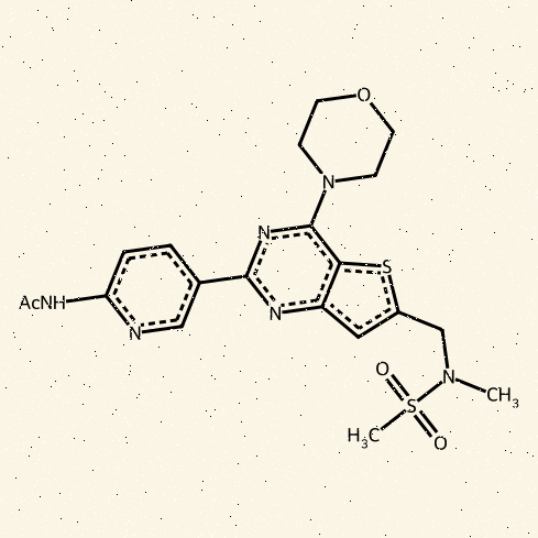 CC(=O)Nc1ccc(-c2nc(N3CCOCC3)c3sc(CN(C)S(C)(=O)=O)cc3n2)cn1